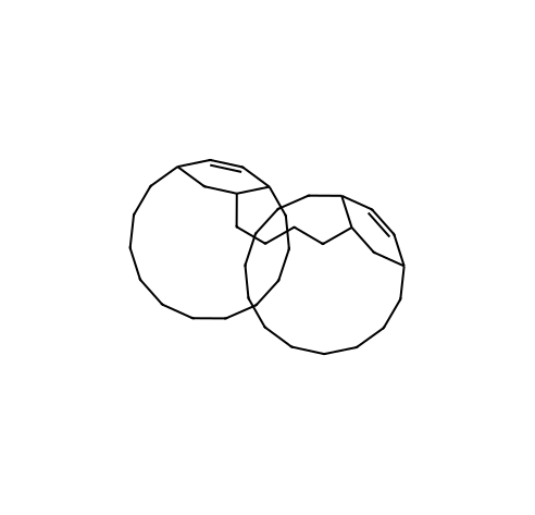 C1=CC2CCCCCCCCCCCC1CC2CCCCC1CC2C=CC1CCCCCCCCCCC2